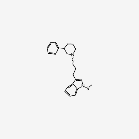 CSn1cc(CCCCN2CCCC(c3ccccc3)C2)c2ccccc21